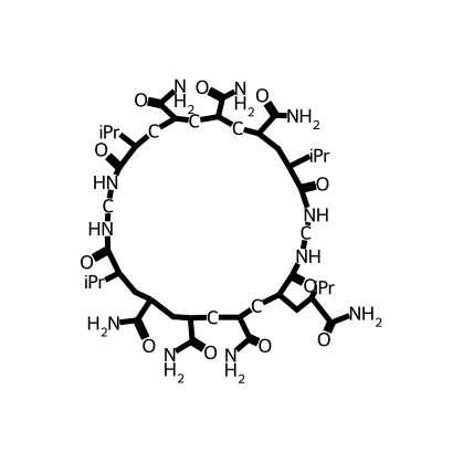 CC(C)C(CC1CC(C(N)=O)CC(C(N)=O)CC(C(N)=O)CC(C(C)C)C(=O)NCNC(=O)C(C(C)C)CC(C(N)=O)CC(C(N)=O)CC(C(N)=O)CC(C(C)C)C(=O)NCNC1=O)C(N)=O